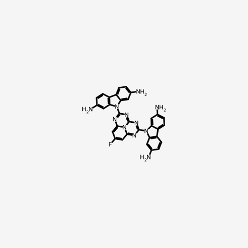 Nc1ccc2c3ccc(N)cc3n(C3=NC4=CC(F)=CC5=NC(n6c7cc(N)ccc7c7ccc(N)cc76)=NC(=N3)N45)c2c1